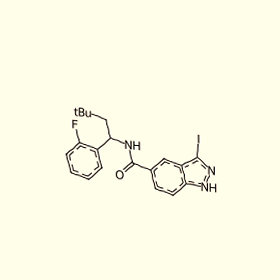 CC(C)(C)CC(NC(=O)c1ccc2[nH]nc(I)c2c1)c1ccccc1F